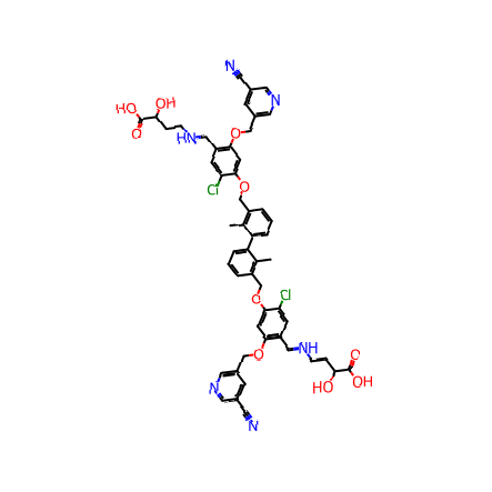 Cc1c(COc2cc(OCc3cncc(C#N)c3)c(CNCCC(O)C(=O)O)cc2Cl)cccc1-c1cccc(COc2cc(OCc3cncc(C#N)c3)c(CNCCC(O)C(=O)O)cc2Cl)c1C